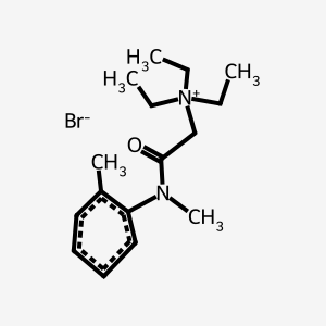 CC[N+](CC)(CC)CC(=O)N(C)c1ccccc1C.[Br-]